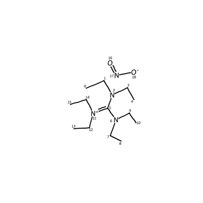 CCN(CC)C(N(CC)CC)=[N+](CC)CC.O=N[O-]